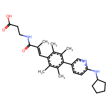 C/C(=C\c1c(C)c(C)c(-c2ccc(NC3CCCC3)nc2)c(C)c1C)C(=O)NCCC(=O)O